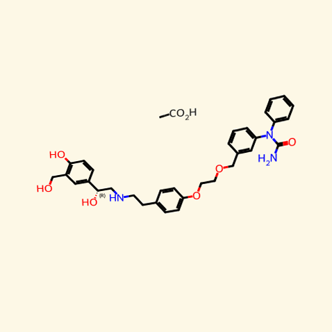 CC(=O)O.NC(=O)N(c1ccccc1)c1cccc(COCCOc2ccc(CCNC[C@H](O)c3ccc(O)c(CO)c3)cc2)c1